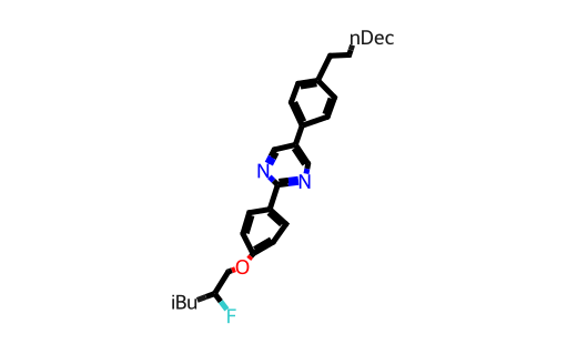 CCCCCCCCCCCCc1ccc(-c2cnc(-c3ccc(OCC(F)C(C)CC)cc3)nc2)cc1